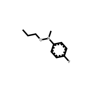 CCCON(C)c1ccc(F)cc1